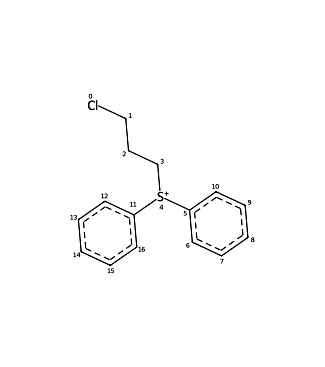 ClCCC[S+](c1ccccc1)c1ccccc1